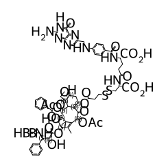 B=BN[C@@H](c1ccccc1)[C@@H](O)C(=O)O[C@H]1C[C@@]2(O)[C@@H](OC(=O)c3ccccc3)C3[C@](C)(C(=O)[C@H](OC(C)=O)C(=C1C)C2(C)C)[C@@H](OC(=O)CCSSCC(NC(=O)CCC(NC(=O)c1ccc(NCc2cnc4nc(N)[nH]c(=O)c4n2)cc1)C(=O)O)C(=O)O)C[C@H]1OC[C@@]31OC(C)=O